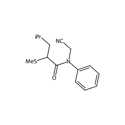 CSC(CC(C)C)C(=O)N(CC#N)c1ccccc1